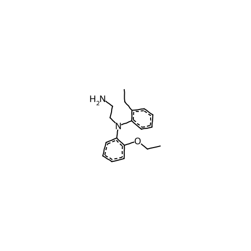 CCOc1ccccc1N(CCN)c1ccccc1CC